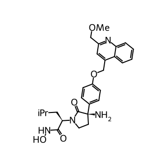 COCc1cc(COc2ccc([C@]3(N)CCN([C@H](CC(C)C)C(=O)NO)C3=O)cc2)c2ccccc2n1